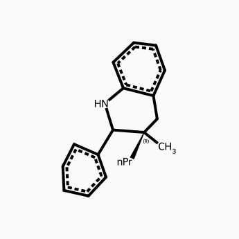 CCC[C@]1(C)Cc2ccccc2NC1c1ccccc1